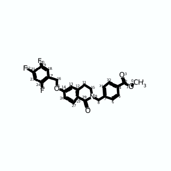 COC(=O)c1ccc(CN2CCc3cc(OCc4cc(F)c(F)cc4F)ccc3C2=O)cc1